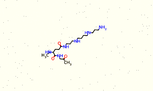 CNC(CCC(=O)NCCCNCCCCNCCCN)C(=O)NCC(C)=O